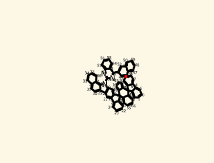 c1ccc2c(c1)-c1ccccc1C21c2ccccc2C2(c3ccccc3-c3cc4c5ccc6ccccc6c5n(-c5nc(-c6ccc7ccccc7c6)c6ccccc6n5)c4cc32)c2ccccc21